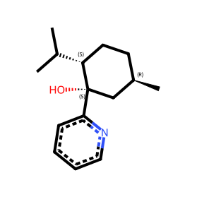 CC(C)[C@@H]1CC[C@@H](C)C[C@@]1(O)c1ccccn1